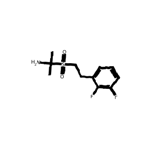 CC(C)(N)S(=O)(=O)CCc1cccc(F)c1F